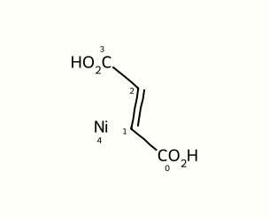 O=C(O)/C=C/C(=O)O.[Ni]